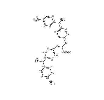 CCCCCCCCCCC(Cc1ccc(C(CC)c2ccc(N)cc2)cc1)Cc1ccc(C(CC)c2ccc(N)cc2)cc1